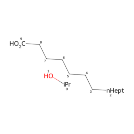 CC(C)O.CCCCCCCCCCCCCC(=O)O